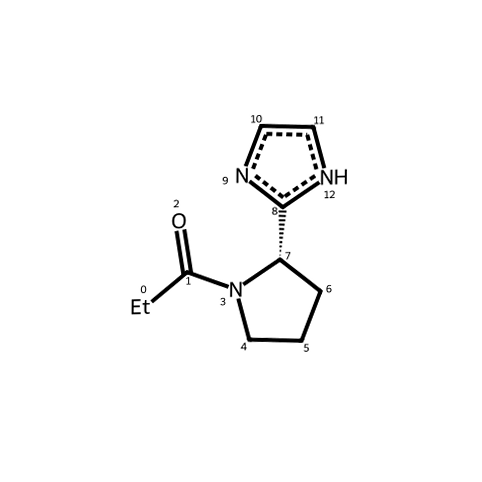 CCC(=O)N1CCC[C@H]1c1ncc[nH]1